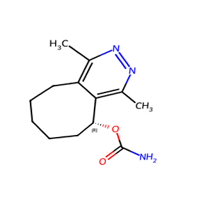 Cc1nnc(C)c2c1CCCCC[C@H]2OC(N)=O